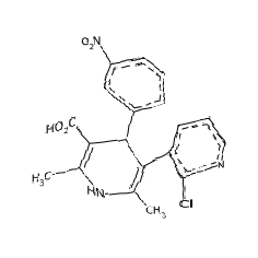 CC1=C(C(=O)O)C(c2cccc([N+](=O)[O-])c2)C(c2cccnc2Cl)=C(C)N1